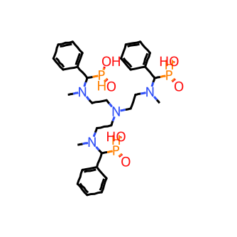 CN(CCN(CCN(C)C(c1ccccc1)[PH](=O)O)CCN(C)C(c1ccccc1)[PH](=O)O)C(c1ccccc1)[PH](=O)O